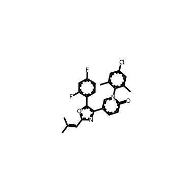 CC(C)=Cc1nc(-c2ccc(=O)n(-c3c(C)cc(Cl)cc3C)c2)c(-c2ccc(F)cc2F)o1